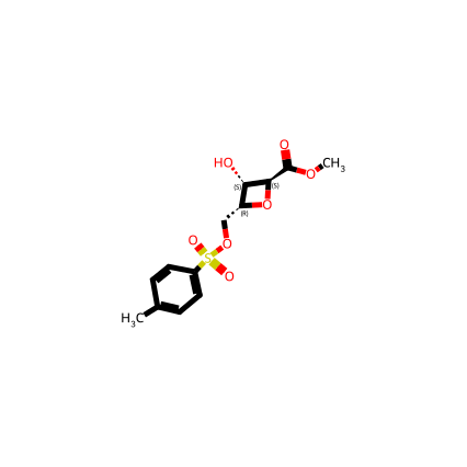 COC(=O)[C@H]1O[C@H](COS(=O)(=O)c2ccc(C)cc2)[C@@H]1O